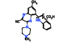 Cc1cc([C@@H](C)Nc2ccccc2C(=O)O)c2nc(N3CCN(C)CC3)c(C#N)nc2c1